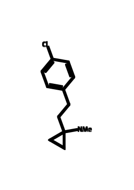 CNC1(CCc2ccc(Cl)cc2)CC1